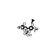 O=C(O)C(=O)OC(Cc1c(Cl)c[n+]([O-])cc1Cl)c1ccc(OC(F)F)c(OCC2CC2)c1